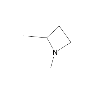 [CH2]C1CCN1C